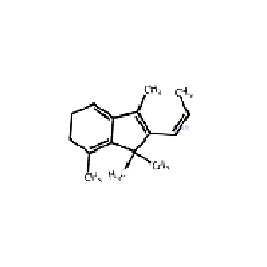 C/C=C\C1=C(C)C2=CCCC(C)=C2C1(C)C